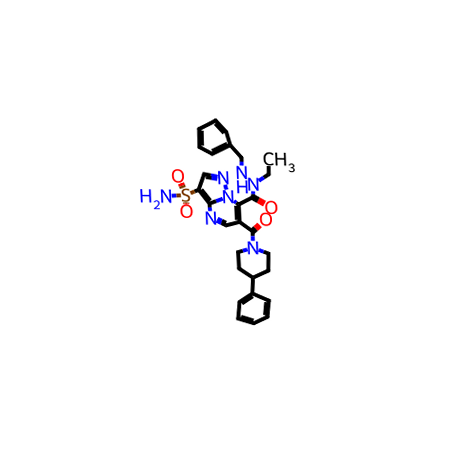 CCN(NCc1ccccc1)C(=O)c1c(C(=O)N2CCC(c3ccccc3)CC2)cnc2c(S(N)(=O)=O)cnn12